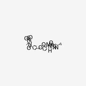 COc1c(CNC(=O)c2cc(C3CC3)nn2C)cccc1OCc1ccc(C(=O)N2CCN(S(C)(=O)=O)CC2C)cc1